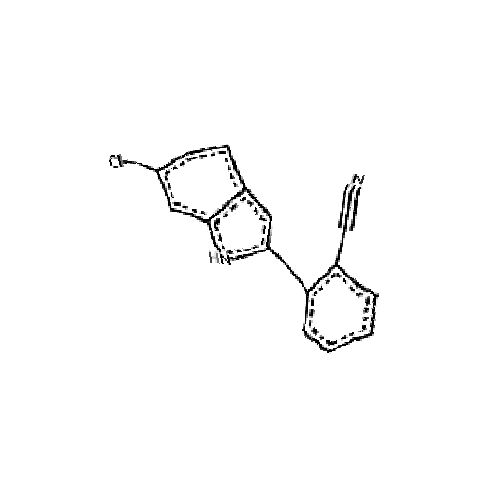 N#Cc1ccccc1-c1cc2ccc(Cl)cc2[nH]1